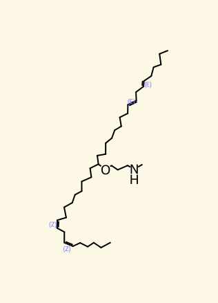 CCCCC/C=C\C/C=C\CCCCCCCCC(CCCCCCCC/C=C/C/C=C/CCCCC)OCCCNC